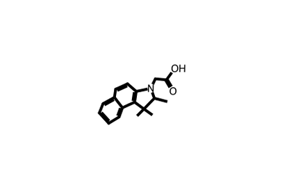 CC1N(CC(=O)O)c2ccc3ccccc3c2C1(C)C